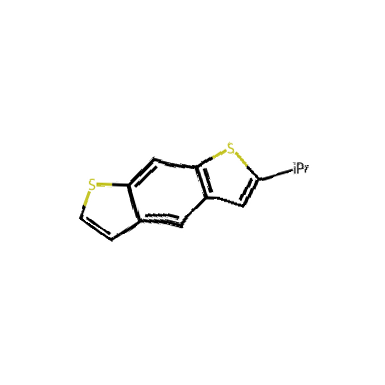 CC(C)c1cc2cc3ccsc3cc2s1